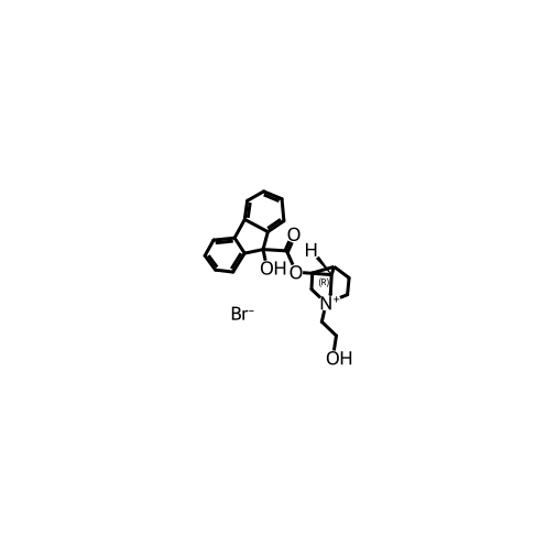 O=C(O[C@H]1C[N+]2(CCO)CCC1CC2)C1(O)c2ccccc2-c2ccccc21.[Br-]